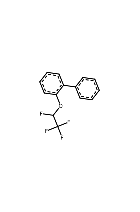 FC(Oc1ccccc1-c1ccccc1)C(F)(F)F